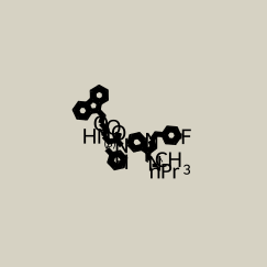 CCCN(C)Cc1cn(Cc2ccc(F)cc2)c2ccc(NC(=O)[C@H](Cc3ccccc3)NC(=O)OCC3c4ccccc4-c4ccccc43)cc12